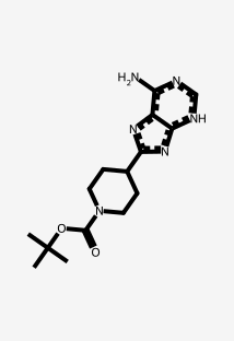 CC(C)(C)OC(=O)N1CCC(c2nc3[nH]cnc(N)c-3n2)CC1